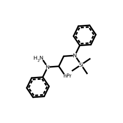 CCCC(CN(c1ccccc1)[Si](C)(C)C)N(N)c1ccccc1